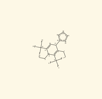 CCC1=C(C(F)(F)F)N(CC)C(C(F)(F)F)=CC1c1cccs1